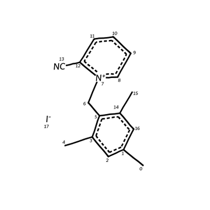 Cc1cc(C)c(C[n+]2ccccc2C#N)c(C)c1.[I-]